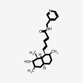 C[C@@H]1[C@@H](O)[C@H](C)C[C@@H]2CC[C@H](C)[C@H](/C=C/C=C/C(=O)NCc3cccnc3)[C@H]21